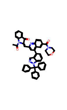 CC(=O)N1C(=Cc2cc(-c3cccc4c3cnn4C(c3ccccc3)(c3ccccc3)c3ccccc3)c3cc(C(=O)N4CCOCC4)ccc3n2)C(=O)c2ccccc21